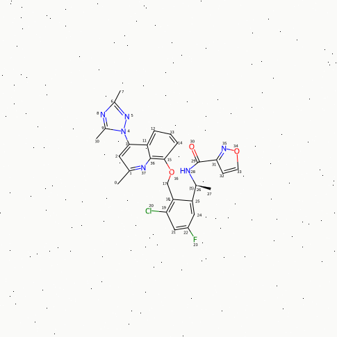 Cc1cc(-n2nc(C)nc2C)c2cccc(OCc3c(Cl)cc(F)cc3[C@H](C)NC(=O)c3ccon3)c2n1